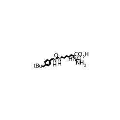 CC(C)(C)Cc1ccc(CNC(=O)NCCCCC[C@H](NC(N)=O)C(=O)O)cc1